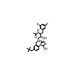 CC(=O)NC(Cc1cc(F)cc(F)c1)C(O)CNCc1cc(CC(C)(C)C)ccc1-n1ccnc1S